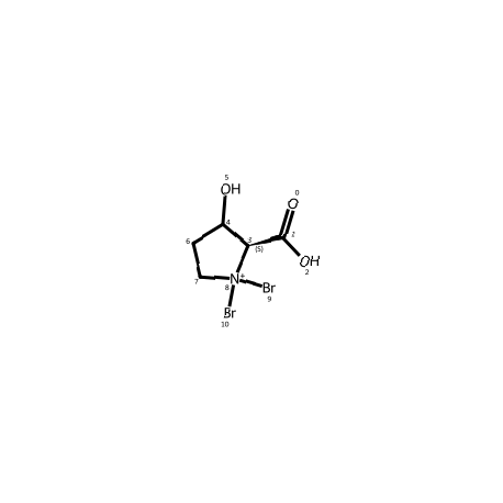 O=C(O)[C@@H]1C(O)CC[N+]1(Br)Br